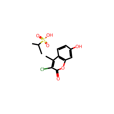 CC(C)S(=O)(=O)O.Cc1c(Cl)c(=O)oc2cc(O)ccc12